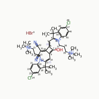 Br.CC1(C)C(/C=C2C(O)=C(/C=C3\N(CCC[N+](C)(C)C)c4ccc(Cl)cc4C3(C)C)C\2=C(C#N)C#N)=[N+](CCC[N+](C)(C)C)c2ccc(Cl)cc21